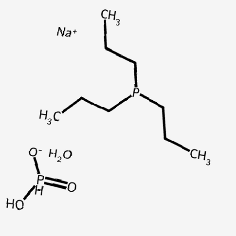 CCCP(CCC)CCC.O.O=[PH]([O-])O.[Na+]